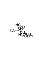 C=CCCC(=O)N(C)C(COCC(C)(C)O)C(=O)OCC#N